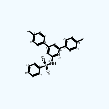 Cc1ccc(-c2cc(NS(=O)(=O)c3ccccc3)nc(-c3ccc(C)cc3)c2)cc1